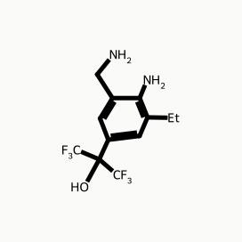 CCc1cc(C(O)(C(F)(F)F)C(F)(F)F)cc(CN)c1N